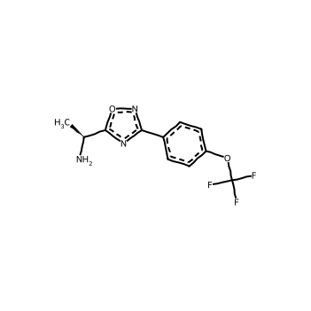 C[C@H](N)c1nc(-c2ccc(OC(F)(F)F)cc2)no1